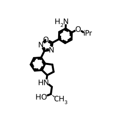 CC(C)Oc1ccc(-c2nc(-c3cccc4c3CCC4NC[C@H](C)O)no2)cc1N